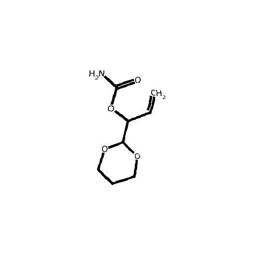 C=CC(OC(N)=O)C1OCCCO1